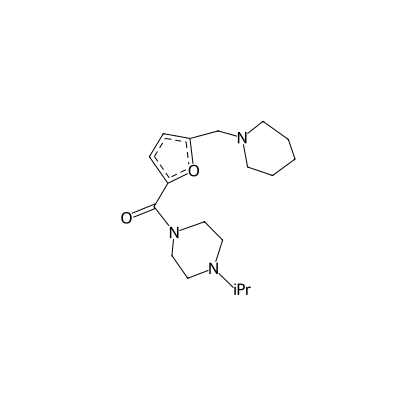 CC(C)N1CCN(C(=O)c2ccc(CN3CCCCC3)o2)CC1